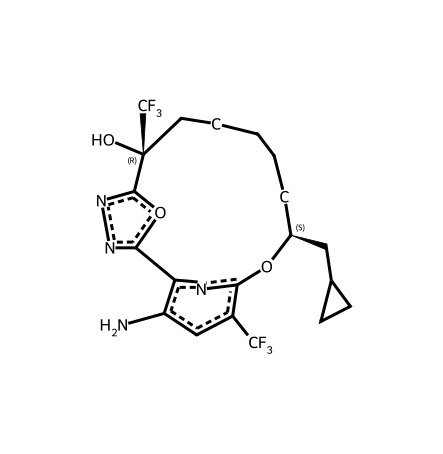 Nc1cc(C(F)(F)F)c2nc1-c1nnc(o1)[C@@](O)(C(F)(F)F)CCCCC[C@@H](CC1CC1)O2